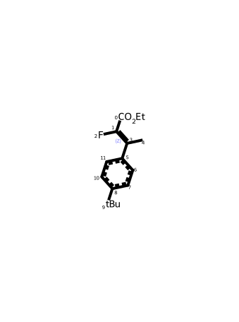 CCOC(=O)/C(F)=C(\C)c1ccc(C(C)(C)C)cc1